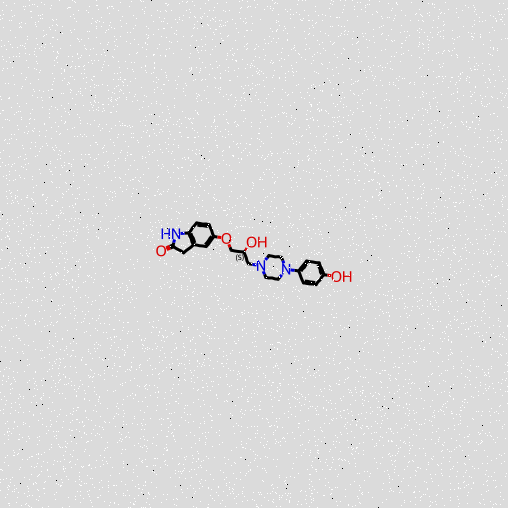 O=C1Cc2cc(OC[C@@H](O)CN3CCN(c4ccc(O)cc4)CC3)ccc2N1